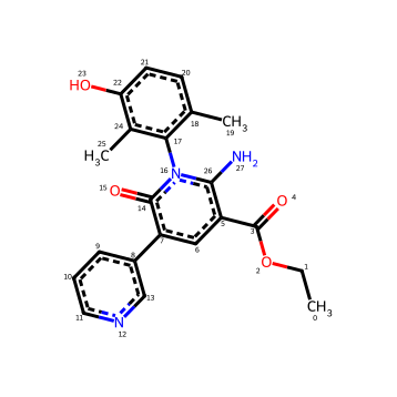 CCOC(=O)c1cc(-c2cccnc2)c(=O)n(-c2c(C)ccc(O)c2C)c1N